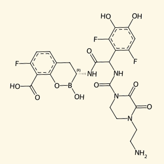 NCCN1CCN(C(=O)NC(C(=O)N[C@H]2Cc3ccc(F)c(C(=O)O)c3OB2O)c2c(F)cc(O)c(O)c2F)C(=O)C1=O